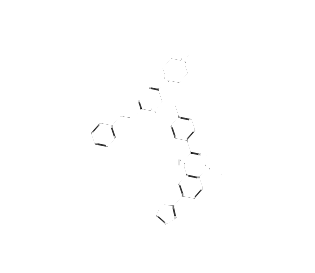 CN1CCN(C(=O)[C@H](Cc2ccc(C(=O)Nc3cc(-c4ccco4)ccc3N)cc2)NC(=O)OCc2ccccc2)CC1